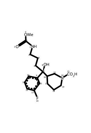 COC(=O)NCCC[C@@](O)(c1cccc(F)c1)C1CCCN(C(=O)O)C1